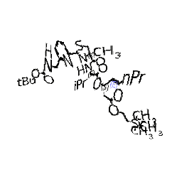 CCC/C=C/[C@H](CC(=O)OCC[Si](C)(C)C)OC(=O)[C@@H](NC(=O)[C@]1(C)CSC(c2cccc(CNC(=O)OC(C)(C)C)n2)=N1)C(C)C